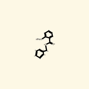 CCCCCc1ccccc1C(=O)OCc1ccccc1